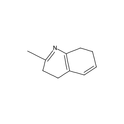 CC1=NC2=C(C=CCC2)CC1